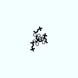 CC(CCC(C)(C)C)OC(=O)CC(O)(CC(=O)OC(C)CCC(C)(C)C)C(=O)OC(C)CCC(C)(C)C